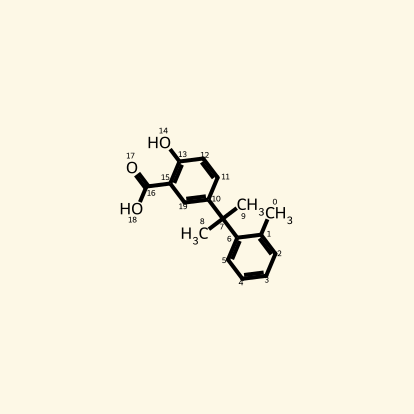 Cc1ccccc1C(C)(C)c1ccc(O)c(C(=O)O)c1